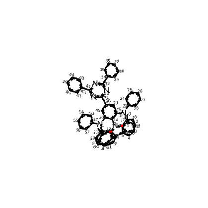 Cc1cccc2c3cccc(C)c3n(-c3c(N(c4ccccc4)c4ccccc4)cc(-c4nc(-c5ccccc5)nc(-c5ccccc5)n4)cc3N(c3ccccc3)c3ccccc3)c12